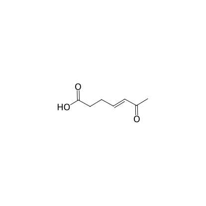 CC(=O)C=CCCC(=O)O